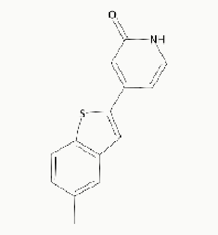 Cc1ccc2sc(-c3cc[nH]c(=O)c3)cc2c1